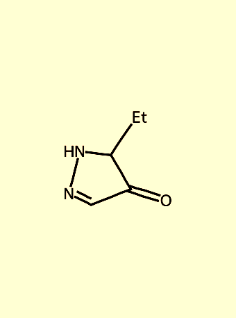 CCC1NN=CC1=O